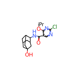 CC(C)Oc1nc(Cl)ncc1C(=O)NC1C2CC3CC1CC(O)(C3)C2